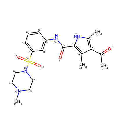 CC(=O)c1c(C)[nH]c(C(=O)Nc2cccc(S(=O)(=O)N3CCN(C)CC3)c2)c1C